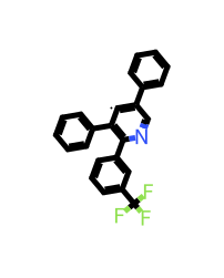 FC(F)(F)c1cccc(-c2ncc(-c3ccccc3)[c]c2-c2ccccc2)c1